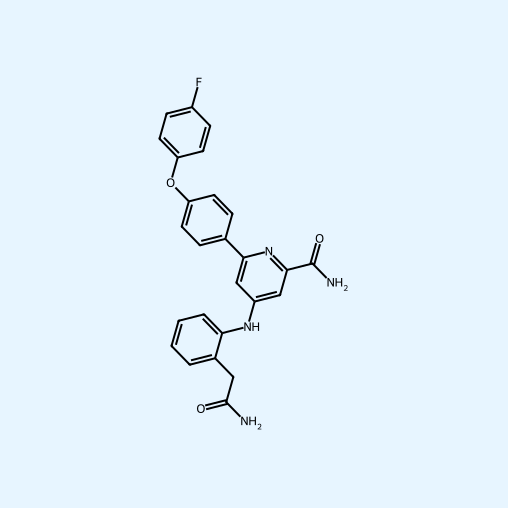 NC(=O)Cc1ccccc1Nc1cc(C(N)=O)nc(-c2ccc(Oc3ccc(F)cc3)cc2)c1